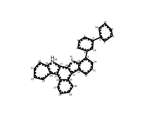 c1ccc(-c2cccc(-c3cccc4c3sc3c5[nH]c6ccccc6c5c5ccccc5c43)c2)cc1